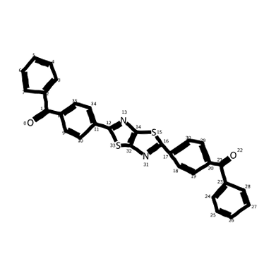 O=C(c1ccccc1)c1ccc(-c2nc3sc(-c4ccc(C(=O)c5ccccc5)cc4)nc3s2)cc1